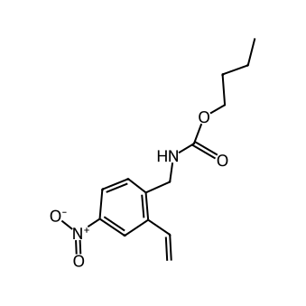 C=Cc1cc([N+](=O)[O-])ccc1CNC(=O)OCCCC